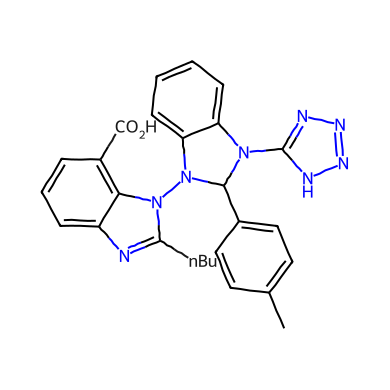 CCCCc1nc2cccc(C(=O)O)c2n1N1c2ccccc2N(c2nnn[nH]2)C1c1ccc(C)cc1